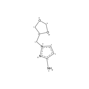 Nc1ccn(CC2COCO2)n1